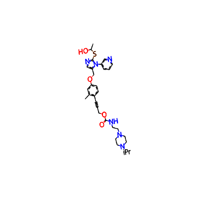 Cc1cc(OCc2cnc(SC(C)O)n2-c2cccnc2)ccc1C#CCOC(=O)NCCN1CCN(C(C)C)CC1